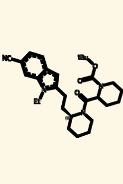 CCn1c(CC[C@@H]2CCCCN2C(=O)C2CCCCN2C(=O)OC(C)(C)C)cc2ccc(C#N)cc21